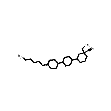 CCCCCCC1CCC(C2CCC(C3CCCC(C#N)(CC)C3)CC2)CC1